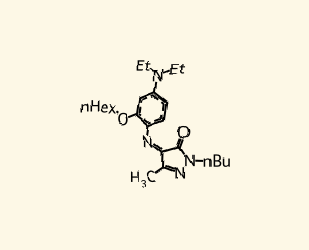 CCCCCCOc1cc(N(CC)CC)ccc1N=C1C(=O)N(CCCC)N=C1C